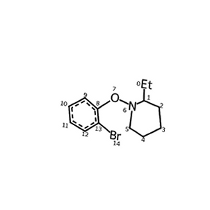 CCC1CCCCN1Oc1ccccc1Br